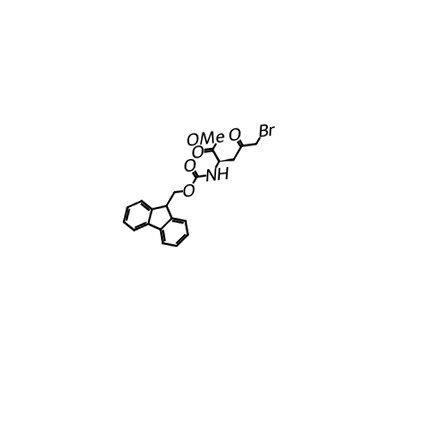 COC(=O)[C@@H](CC(=O)CBr)NC(=O)OCC1c2ccccc2-c2ccccc21